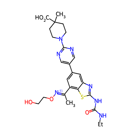 CCNC(=O)Nc1nc2cc(-c3cnc(N4CCC(C)(C(=O)O)CC4)nc3)cc(/C(C)=N/OCCO)c2s1